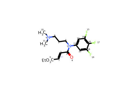 CCOC(=O)/C=C/C(=O)N(CCCN(C)C)c1cc(F)c(F)c(F)c1